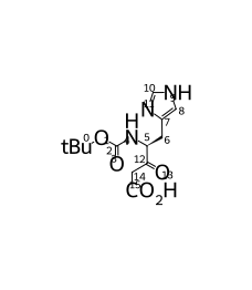 CC(C)(C)OC(=O)N[C@@H](Cc1c[nH]cn1)C(=O)CC(=O)O